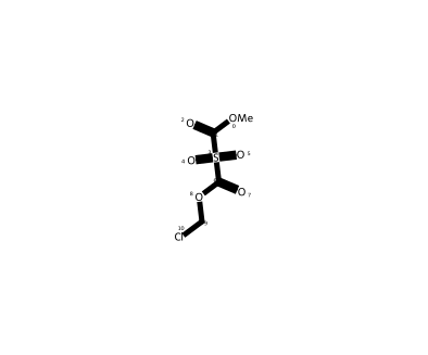 COC(=O)S(=O)(=O)C(=O)OCCl